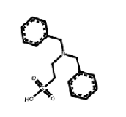 O=S(=O)(O)CCN(Cc1ccccc1)Cc1ccccc1